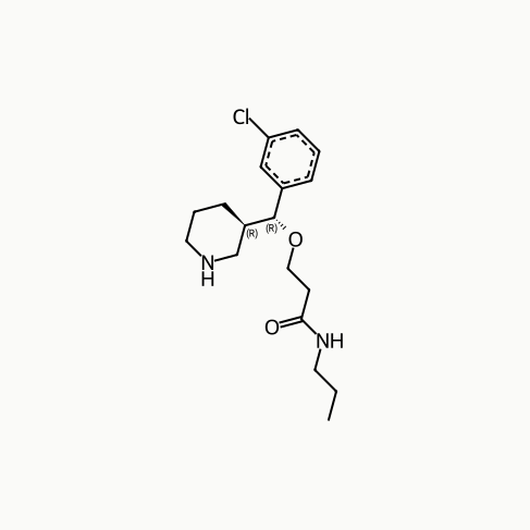 CCCNC(=O)CCO[C@@H](c1cccc(Cl)c1)[C@@H]1CCCNC1